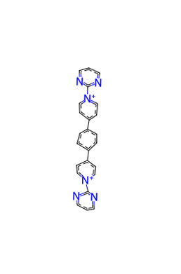 c1cnc(-[n+]2ccc(-c3ccc(-c4cc[n+](-c5ncccn5)cc4)cc3)cc2)nc1